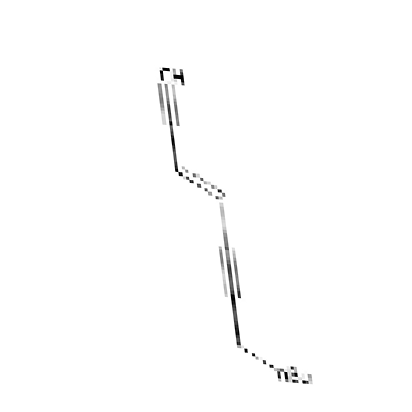 C#CC=CC#CCCCCC